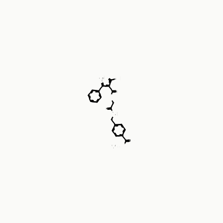 COC(=O)c1ccc(CNC(=O)COC(=O)c2c(-c3ccccc3)noc2C)cc1